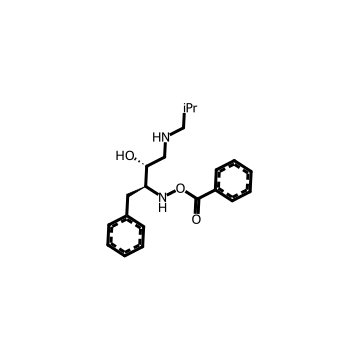 CC(C)CNC[C@@H](O)[C@H](Cc1ccccc1)NOC(=O)c1ccccc1